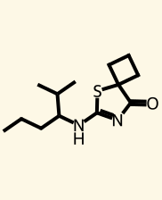 CCCC(NC1=NC(=O)C2(CCC2)S1)C(C)C